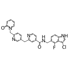 O=C(NCc1ccc2[nH]cc(Cl)c2c1F)c1ccnc(Cc2ccc(Cn3ccccc3=O)nc2)c1